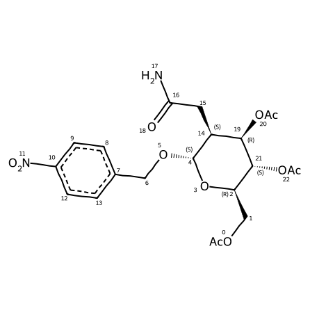 CC(=O)OC[C@H]1O[C@H](OCc2ccc([N+](=O)[O-])cc2)[C@@H](CC(N)=O)[C@@H](OC(C)=O)[C@@H]1OC(C)=O